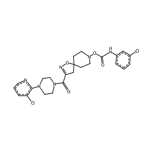 O=C(Nc1cccc(Cl)c1)ON1CCC2(CC1)CC(C(=O)N1CCN(c3ncccc3Cl)CC1)=NO2